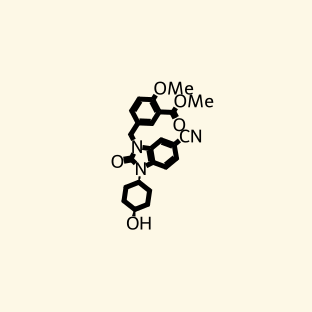 COC(=O)c1cc(Cn2c(=O)n([C@H]3CC[C@H](O)CC3)c3ccc(C#N)cc32)ccc1OC